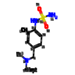 C.CCCCCCCN(CC)Cc1ccc(NS(N)(=O)=O)cc1